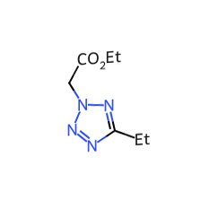 CCOC(=O)Cn1nnc(CC)n1